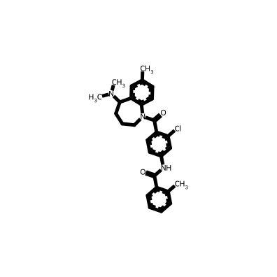 Cc1ccc2c(c1)C(N(C)C)CCCN2C(=O)c1ccc(NC(=O)c2ccccc2C)cc1Cl